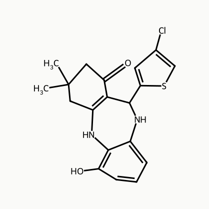 CC1(C)CC(=O)C2=C(C1)Nc1c(O)cccc1NC2c1cc(Cl)cs1